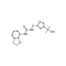 CC(C)(O)c1coc(SNC(=O)Nc2cccc3c2OCC3)c1